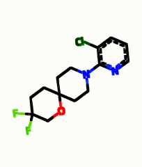 FC1(F)CCC2(CCN(c3ncccc3Cl)CC2)OC1